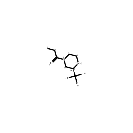 CCC(=O)N1CCN[C@@H](C(F)(F)F)C1